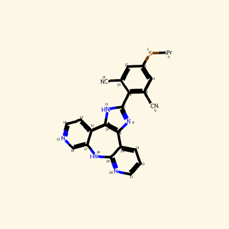 CC(C)Sc1cc(C#N)c(-c2nc3c([nH]2)-c2ccncc2Nc2ncccc2-3)c(C#N)c1